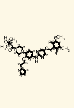 COc1cc(C)c(F)c(COc2cnc(Nc3ccc(N4CCN(C(=O)OC(C)(C)C)CC4)c(OCCn4cccn4)c3)nc2)c1F